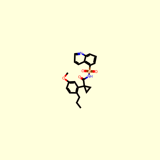 CCCc1ccc(OC)cc1C1(C(=O)NS(=O)(=O)c2cccc3ncccc23)CC1